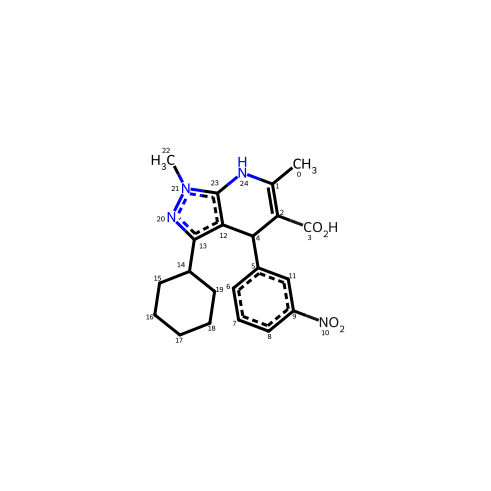 CC1=C(C(=O)O)C(c2cccc([N+](=O)[O-])c2)c2c(C3CCCCC3)nn(C)c2N1